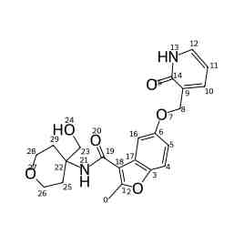 Cc1oc2ccc(OCc3ccc[nH]c3=O)cc2c1C(=O)NC1(CO)CCOCC1